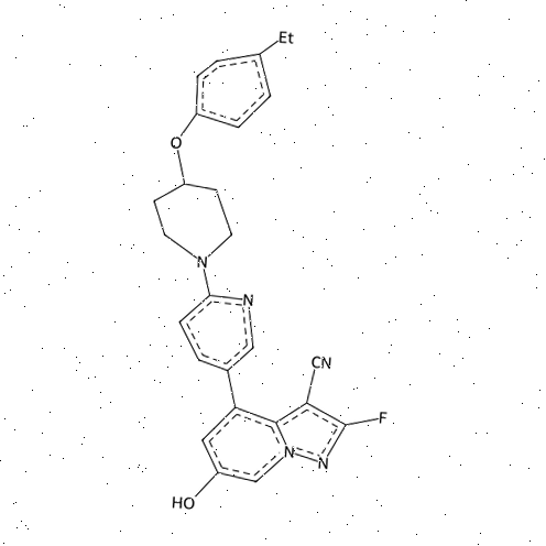 CCc1ccc(OC2CCN(c3ccc(-c4cc(O)cn5nc(F)c(C#N)c45)cn3)CC2)cc1